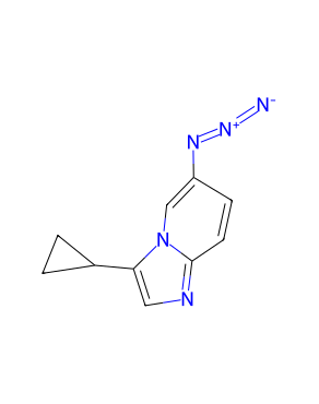 [N-]=[N+]=Nc1ccc2ncc(C3CC3)n2c1